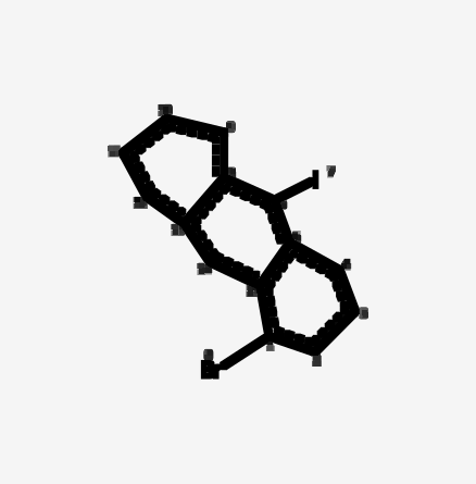 Brc1cccc2c(I)c3ccccc3cc12